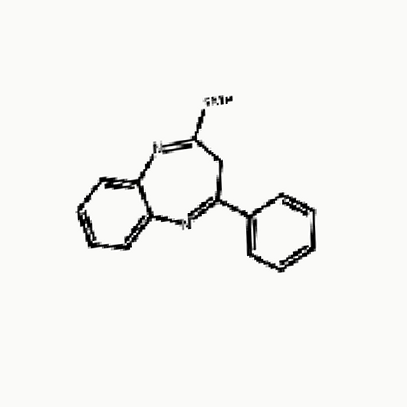 CSC1=Nc2ccccc2N=C(c2ccccc2)C1